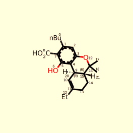 CCCCc1cc2c(c(O)c1C(=O)O)[C@@H]1C=C(CC)CC[C@H]1C(C)(C)O2